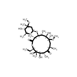 CC[C@H]1OC(=O)[C@H](C)[C@@H](O[C@@H]2C[C@@](C)(OC)[C@@H](O)[C@H](C)O2)[C@H](C)[C@@H](O)[C@@](C)(OC)C[C@@H](C)C(=O)[C@H](C)[C@@H](O)[C@]1(C)O